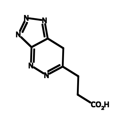 O=C(O)CCC1=NN=C2N=NN=C2C1